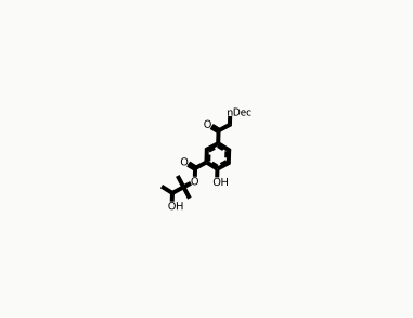 CCCCCCCCCCCC(=O)c1ccc(O)c(C(=O)OC(C)(C)C(C)O)c1